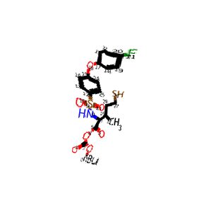 CCCCOC(=O)OC(=O)C(NS(=O)(=O)c1ccc(Oc2ccc(F)cc2)cc1)C(C)CCS